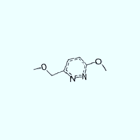 COCc1ccc(OC)nn1